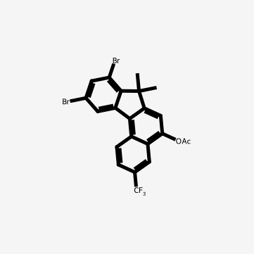 CC(=O)Oc1cc2c(c3ccc(C(F)(F)F)cc13)-c1cc(Br)cc(Br)c1C2(C)C